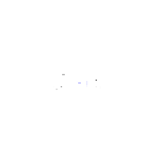 C=CC1CC[C@@H](C)N1